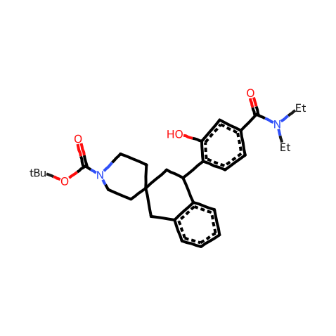 CCN(CC)C(=O)c1ccc(C2CC3(CCN(C(=O)OC(C)(C)C)CC3)Cc3ccccc32)c(O)c1